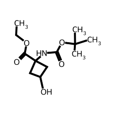 CCOC(=O)C1(NC(=O)OC(C)(C)C)CC(O)C1